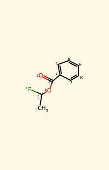 CC(F)OC(=O)c1ccccc1